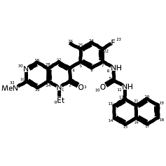 CCn1c(=O)c(-c2cc(NC(=O)Nc3cccc4ccccc34)c(F)cc2C)cc2cnc(NC)cc21